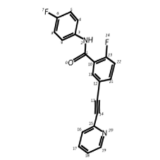 O=C(Nc1ccc(F)cc1)c1cc(C#Cc2ccccn2)ccc1F